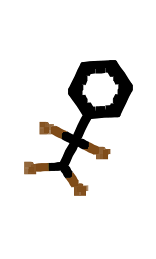 BrC(Br)C(Br)(Br)c1ccccc1